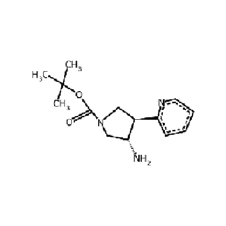 CC(C)(C)OC(=O)N1C[C@@H](N)[C@H](c2ccccn2)C1